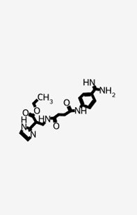 CCOC(=O)C(CNC(=O)CCC(=O)Nc1ccc(C(=N)N)cc1)c1ncc[nH]1